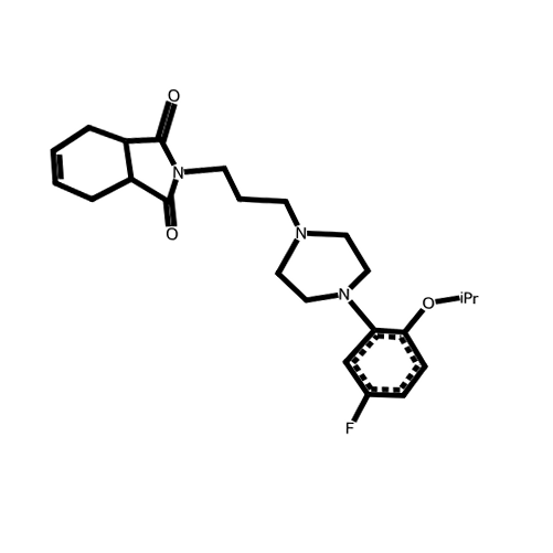 CC(C)Oc1ccc(F)cc1N1CCN(CCCN2C(=O)C3CC=CCC3C2=O)CC1